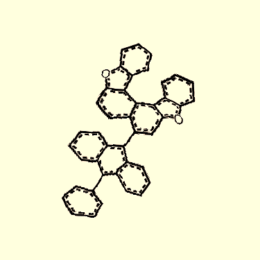 c1ccc(-c2c3ccccc3c(-c3cc4oc5ccccc5c4c4c3ccc3oc5ccccc5c34)c3ccccc23)cc1